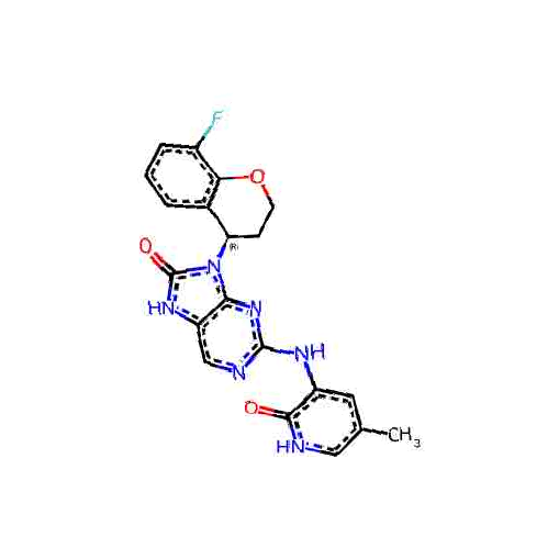 Cc1c[nH]c(=O)c(Nc2ncc3[nH]c(=O)n([C@@H]4CCOc5c(F)cccc54)c3n2)c1